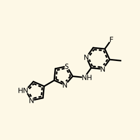 Cc1nc(Nc2nc(-c3cn[nH]c3)cs2)ncc1F